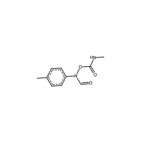 CNC(=O)ON(C=O)c1ccc(C)cc1